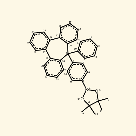 CC1(C)OB(c2ccc(C3(c4ccccc4)c4ccccc4-c4ccccc4-c4ccccc43)cc2)OC1(C)C